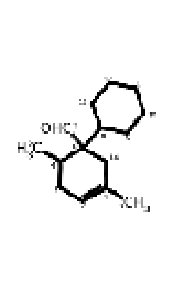 CC1=CCC(C)C(C=O)(C2CCCCC2)C1